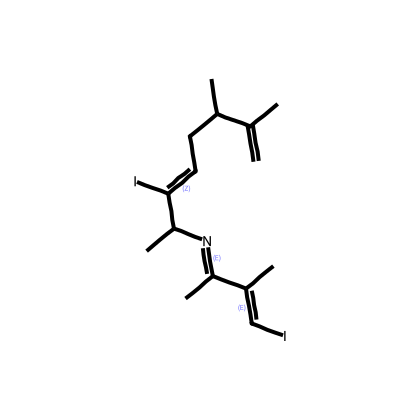 C=C(C)C(C)C/C=C(\I)C(C)/N=C(C)/C(C)=C/I